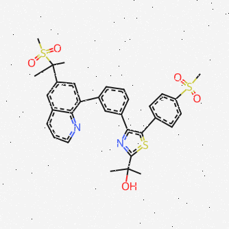 CC(C)(O)c1nc(-c2cccc(-c3cc(C(C)(C)S(C)(=O)=O)cc4cccnc34)c2)c(-c2ccc(S(C)(=O)=O)cc2)s1